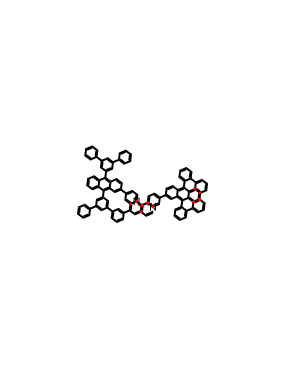 c1ccc(-c2cc(-c3ccccc3)cc(-c3c4ccccc4c(-c4cc(-c5ccccc5)cc(-c5cccc(-c6ccc(-c7ccc(-c8ccc9c(-c%10ccccc%10-c%10ccccc%10)c%10ccccc%10c(-c%10ccccc%10-c%10ccccc%10)c9c8)cc7)nc6)c5)c4)c4cc(-c5ccc(-c6cccnc6)cc5)ccc34)c2)cc1